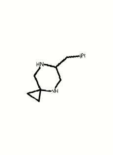 CC(C)CC1CNC2(CC2)CN1